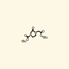 CC(C)(C)OC(=O)CN1CCN(C(=O)OC(C)(C)C)CC1=O